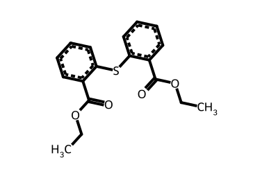 CCOC(=O)c1ccccc1Sc1ccccc1C(=O)OCC